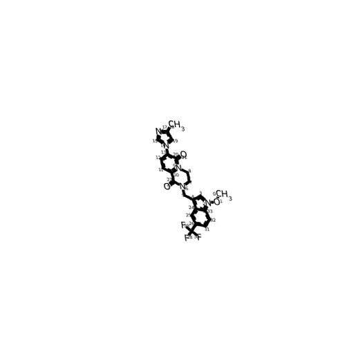 COn1cc(CN2CCn3c(ccc(-n4cnc(C)c4)c3=O)C2=O)c2cc(C(F)(F)F)ccc21